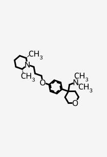 C[C@@H]1CCC[C@H](C)N1CCCOc1ccc(C2(CN(C)C)CCOCC2)cc1